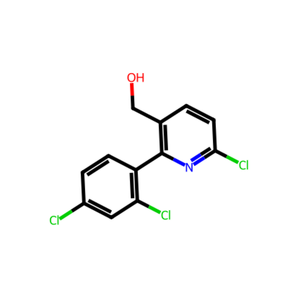 OCc1ccc(Cl)nc1-c1ccc(Cl)cc1Cl